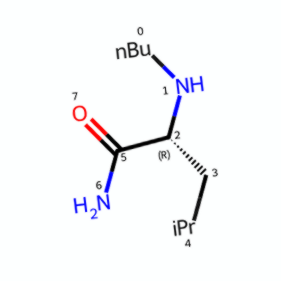 CCCCN[C@H](CC(C)C)C(N)=O